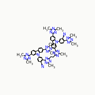 Cc1nc(C)nc(-c2ccc3c4ccc(-c5nc(C)nc(C)n5)cc4n(-c4ccc(C#N)c(-c5nc(C)nc(CCc6nc(C)nc(-c7ccc8c9ccc(-c%10nc(C)nc(C)n%10)cc9n(-c9ccc(-c%10nc(C)nc(C)n%10)c(C#N)c9)c8c7)n6)n5)c4)c3c2)n1